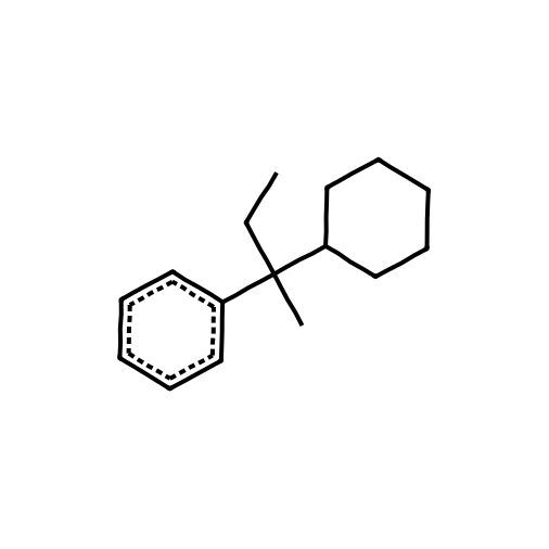 CCC(C)(c1ccccc1)C1CCCCC1